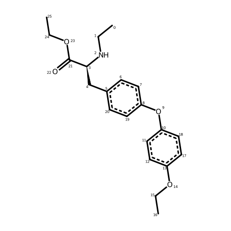 CCN[C@@H](Cc1ccc(Oc2ccc(OCC)cc2)cc1)C(=O)OCC